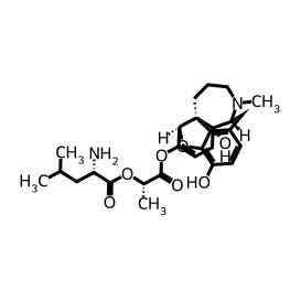 CC(C)C[C@H](N)C(=O)O[C@@H](C)C(=O)OC1=CC[C@@]2(O)[C@H]3Cc4ccc(O)c5c4[C@@]2(CCCN3C)[C@H]1O5